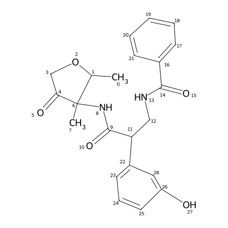 CC1OCC(=O)C1(C)NC(=O)C(CNC(=O)c1ccccc1)c1cccc(O)c1